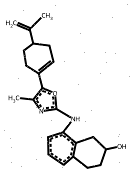 C=C(C)C1CC=C(c2oc(Nc3cccc4c3CC(O)CC4)nc2C)CC1